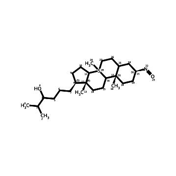 CC(C)C(O)CCC[C@H]1CCC2[C@]1(C)CCC1[C@@]3(C)CC[C@H](N=O)CC3CCS12C